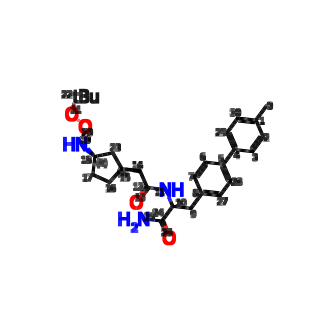 Cc1ccc(-c2ccc(CC(NC(=O)C[C@H]3CC[C@@H](NOOC(C)(C)C)C3)C(N)=O)cc2)cc1